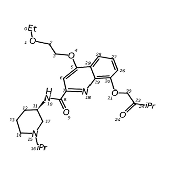 CCOCCOc1cc(C(=O)N[C@@H]2CCCN(C(C)C)C2)nc2c(OCC(=O)C(C)C)cccc12